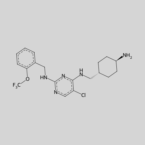 N[C@H]1CC[C@H](CNc2nc(NCc3ccccc3OC(F)(F)F)ncc2Cl)CC1